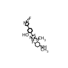 CNC1CCC(F)[C@@H](N(C)c2nnc(-c3ccc(-c4cnn(CF)c4)cc3O)s2)C1